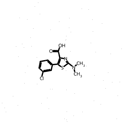 CN(C)c1nc(C(=O)O)c(-c2cccc(Cl)c2)s1